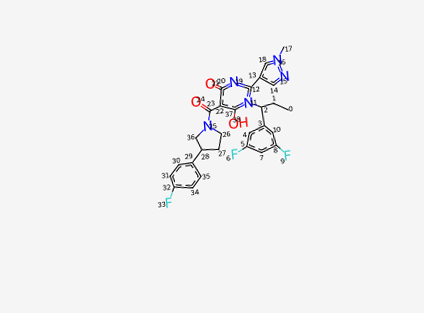 CCC(c1cc(F)cc(F)c1)n1c(-c2cnn(C)c2)nc(=O)c(C(=O)N2CCC(c3ccc(F)cc3)C2)c1O